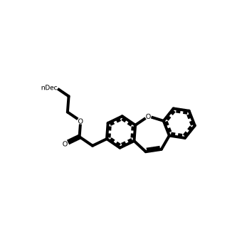 CCCCCCCCCCCCOC(=O)Cc1ccc2c(c1)C=Cc1ccccc1O2